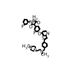 CN1CCN(CCN(C)Cc2ccc(-c3cc4nccc(Oc5ccc(C(C(N)=O)C(=O)Nc6cccc(F)c6)cc5F)c4s3)cc2)CC1